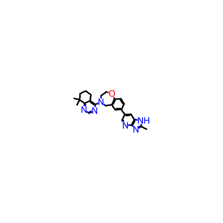 Cc1nc2ncc(-c3ccc4c(c3)CN(c3ncnc5c3CCCC5(C)C)CCO4)cc2[nH]1